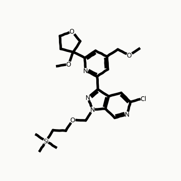 COCc1cc(-c2nn(COCC[Si](C)(C)C)c3cnc(Cl)cc23)nc(C2(OC)CCOC2)c1